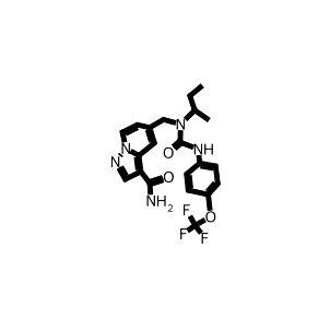 CCC(C)N(Cc1ccn2ncc(C(N)=O)c2c1)C(=O)Nc1ccc(OC(F)(F)F)cc1